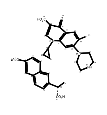 COc1ccc2cc([C@H](C)C(=O)O)ccc2c1.O=C(O)c1cn(C2CC2)c2cc(N3CCNCC3)c(F)cc2c1=O